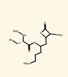 CCCCCCCCCCCCCC(CC1OC(=O)C1CCCCCC)OC(=O)[C@H](CC(C)C)NC=O